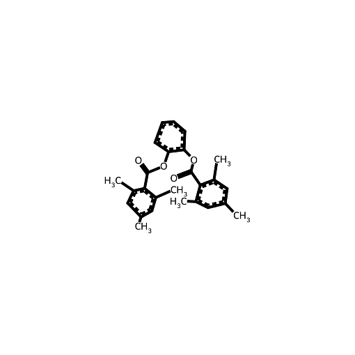 Cc1cc(C)c(C(=O)Oc2ccccc2OC(=O)c2c(C)cc(C)cc2C)c(C)c1